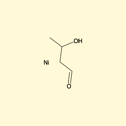 CC(O)CC=O.[Ni]